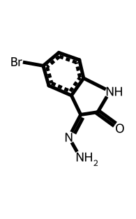 N/N=C1\C(=O)Nc2ccc(Br)cc21